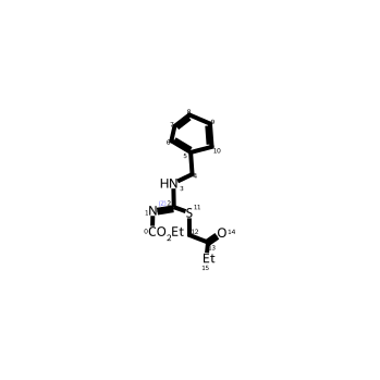 CCOC(=O)/N=C(/NCc1ccccc1)SCC(=O)CC